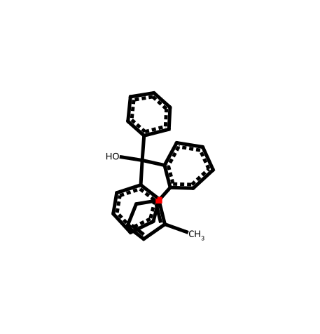 CC1=C(c2ccccc2C(O)(c2ccccc2)c2ccccc2)CC=C1